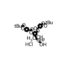 CC(C)(C)C(=O)Oc1ccc(C(=O)Oc2cc(OC(=O)c3ccc(OC(=O)C(C)(C)C)cc3)cc(C(C)(C)CNCCO)c2)cc1.Cl